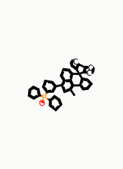 Cc1cc(-c2cccc(P(=O)(c3ccccc3)c3ccccc3)c2)c2cccc3c2c1-c1ccccc1C31c2ccccc2-c2ccccc21